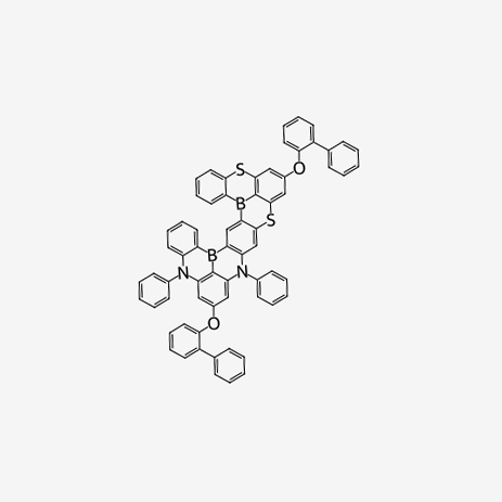 c1ccc(-c2ccccc2Oc2cc3c4c(c2)Sc2cc5c(cc2B4c2ccccc2S3)B2c3ccccc3N(c3ccccc3)c3cc(Oc4ccccc4-c4ccccc4)cc(c32)N5c2ccccc2)cc1